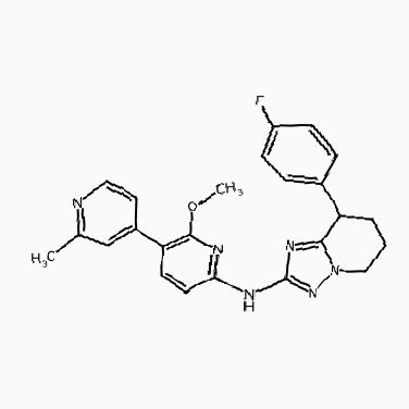 COc1nc(Nc2nc3n(n2)CCCC3c2ccc(F)cc2)ccc1-c1ccnc(C)c1